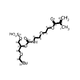 C=C(C)C(=O)OCCOCCNC(=O)OC(COCC(C)CC)COS(=O)(=O)O